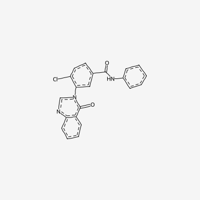 O=C(Nc1ccccc1)c1ccc(Cl)c(-n2cnc3ccccc3c2=O)c1